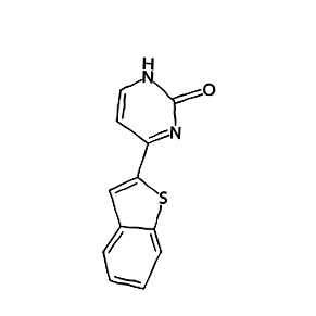 O=c1nc(-c2cc3ccccc3s2)cc[nH]1